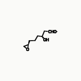 O=[C]C[C@@H](O)CCC[C@@H]1CO1